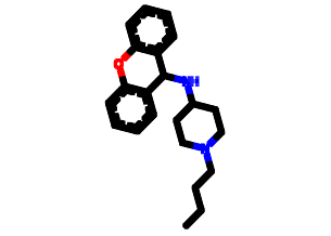 CCCCN1CCC(NC2c3ccccc3Oc3ccccc32)CC1